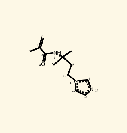 C=C(C)C(=O)NC(C)(C)CCn1ccnc1